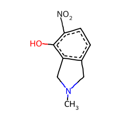 CN1Cc2ccc([N+](=O)[O-])c(O)c2C1